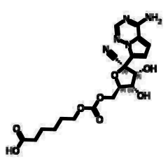 N#C[C@@]1(c2ccc3c(N)ncnn23)O[C@H](COC(=O)OCCCCCC(=O)O)[C@@H](O)[C@H]1O